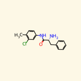 Cc1ccc(NC(=O)[C@H](N)Cc2ccccc2)cc1Cl